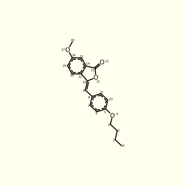 CCCCOc1ccc(/C=C2\OC(=O)c3cc(OC)ccc32)cc1